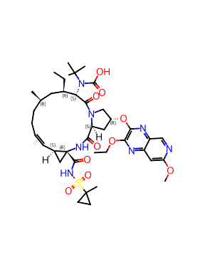 CCOc1nc2cc(OC)ncc2nc1O[C@@H]1C[C@H]2C(=O)N[C@]3(C(=O)NS(=O)(=O)C4(C)CC4)C[C@H]3/C=C\CC[C@@H](C)C[C@@H](CC)[C@H](N(C(=O)O)C(C)(C)C)C(=O)N2C1